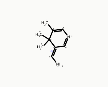 CC1=CN=C/C(=C\N)C1(C)C